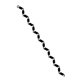 O=S=S=S=S=S=S=S=S=S=S=S=S=S=S=S=S=S